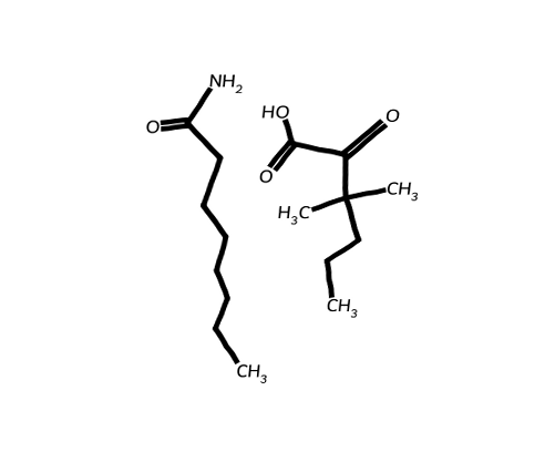 CCCC(C)(C)C(=O)C(=O)O.CCCCCCCC(N)=O